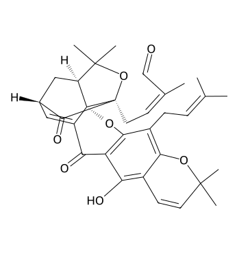 CC(C)=CCc1c2c(c(O)c3c1O[C@]14C(=C[C@@H]5C[C@H]1C(C)(C)O[C@@]4(C/C=C(/C)C=O)C5=O)C3=O)C=CC(C)(C)O2